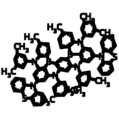 Cc1cc(C)cc(N2c3cc(C)ccc3B3c4cc5c(cc4N(c4cc(C)cc(C)c4)c4cc(N6c7ccccc7Sc7ccccc76)cc2c43)N(c2cc(C)cc(C)c2)c2cc(N3c4ccccc4Sc4ccccc43)cc3c2B5c2ccc(C)cc2N3c2cc(C)cc(C)c2)c1